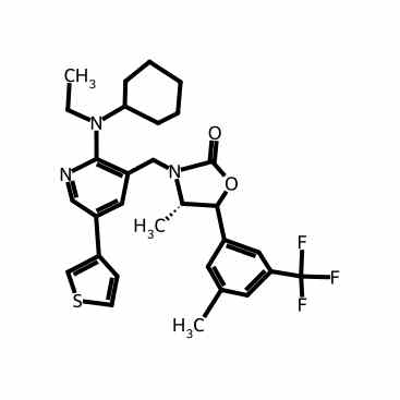 CCN(c1ncc(-c2ccsc2)cc1CN1C(=O)OC(c2cc(C)cc(C(F)(F)F)c2)[C@@H]1C)C1CCCCC1